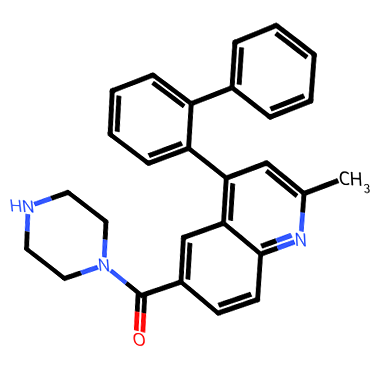 Cc1cc(-c2ccccc2-c2ccccc2)c2cc(C(=O)N3CCNCC3)ccc2n1